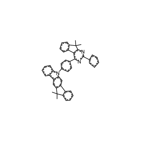 CC1(C)c2ccccc2-c2cc3c(cc21)c1ccccc1n3-c1ccc(-c2nc(-c3ccccc3)nc3c2-c2ccccc2C3(C)C)cc1